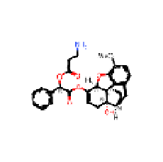 COc1ccc2c3c1O[C@@H]1C(OC(=O)[C@H](OC(=O)CCN)c4ccccc4)=CC[C@]4(O)[C@@H](CCC[C@@]314)C2